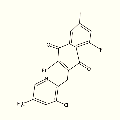 CCC1=C(Cc2ncc(C(F)(F)F)cc2Cl)C(=O)c2c(F)cc(C)cc2C1=O